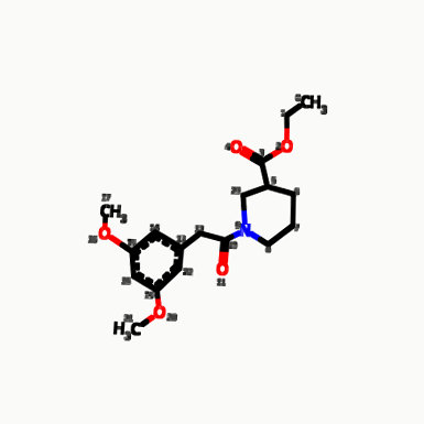 CCOC(=O)C1CCCN(C(=O)Cc2cc(OC)cc(OC)c2)C1